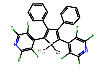 CC[Si]1(C)C(c2c(F)c(F)nc(F)c2F)=C(c2ccccc2)C(c2ccccc2)=C1c1c(F)c(F)nc(F)c1F